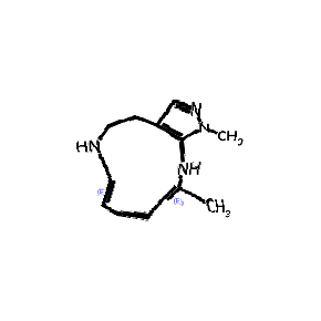 C/C1=C\CC/C=C/NCCc2cnn(C)c2N1